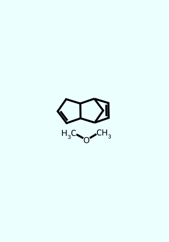 C1=CC2C3C=CC(C3)C2C1.COC